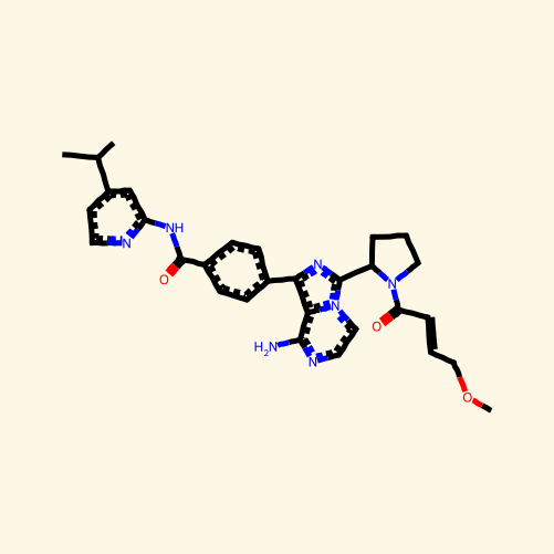 COC/C=C/C(=O)N1CCCC1c1nc(-c2ccc(C(=O)Nc3cc(C(C)C)ccn3)cc2)c2c(N)nccn12